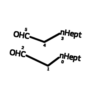 CCCCCCCCC=O.CCCCCCCCC=O